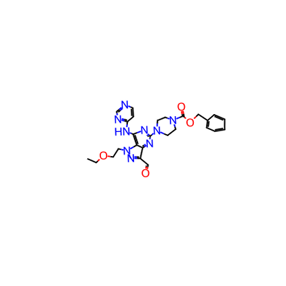 CCOCCn1nc(C=O)c2nc(N3CCN(C(=O)OCc4ccccc4)CC3)nc(Nc3ccncn3)c21